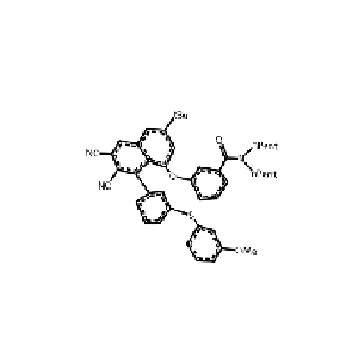 CCCCCN(CCCCC)C(=O)c1cccc(Oc2cc(C(C)(C)C)cc3cc(C#N)c(C#N)c(-c4cccc(Sc5cccc(OC)c5)c4)c23)c1